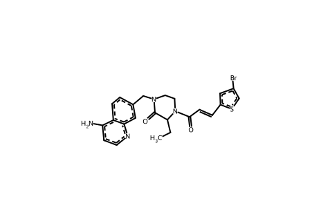 CCC1C(=O)N(Cc2ccc3c(N)ccnc3c2)CCN1C(=O)/C=C/c1cc(Br)cs1